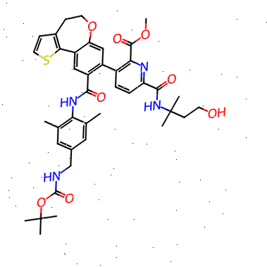 COC(=O)c1nc(C(=O)NC(C)(C)CCO)ccc1-c1cc2c(cc1C(=O)Nc1c(C)cc(CNC(=O)OC(C)(C)C)cc1C)-c1sccc1CCO2